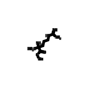 CC(C)(C)OC(=O)C(N)(CCCNC(=N)N)C(=O)O